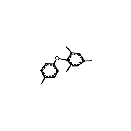 [CH2]c1ccc(Oc2c(C)cc(C)cc2C)cc1